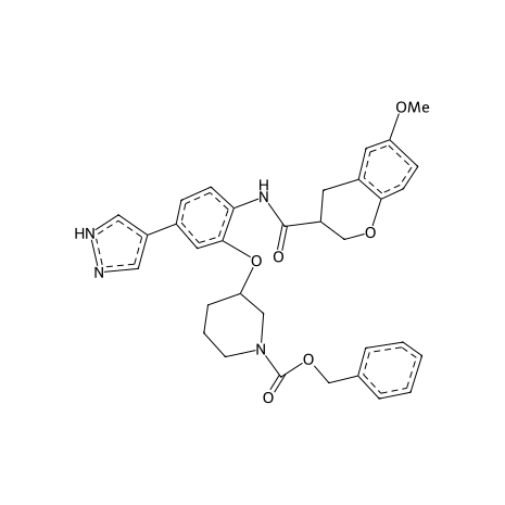 COc1ccc2c(c1)CC(C(=O)Nc1ccc(-c3cn[nH]c3)cc1OC1CCCN(C(=O)OCc3ccccc3)C1)CO2